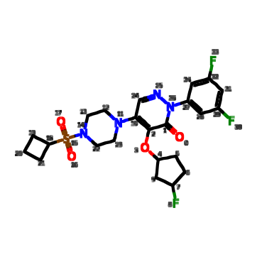 O=c1c(OC2CCC(F)C2)c(N2CCN(S(=O)(=O)C3CCC3)CC2)cnn1-c1cc(F)cc(F)c1